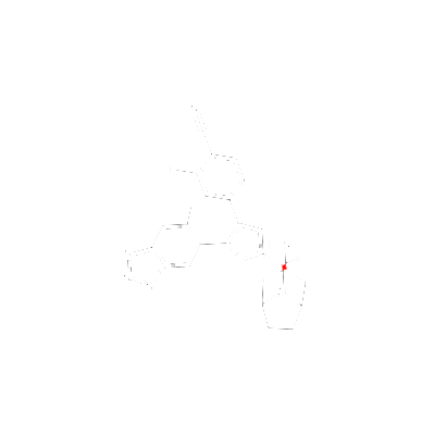 N#Cc1ccc(-c2cc(C(=O)N3C4CCC3CC(N)C4)sc2-c2cc3[nH]nnc3cc2F)cc1F